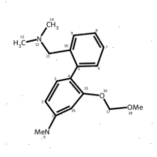 CNc1ccc(-c2ccccc2CN(C)C)c(OCOC)c1